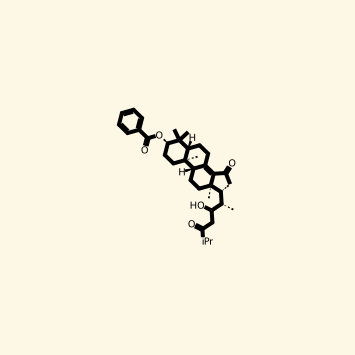 CC(C)C(=O)CC(O)[C@@H](C)[C@H]1CC(=O)C2=C3CC[C@H]4C(C)(C)[C@@H](OC(=O)c5ccccc5)CC[C@]4(C)[C@H]3CC[C@@]21C